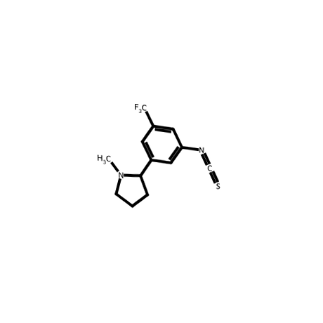 CN1CCCC1c1cc(N=C=S)cc(C(F)(F)F)c1